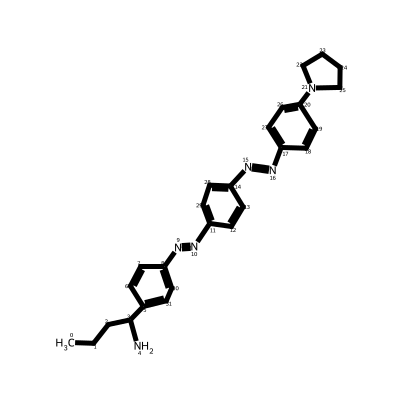 CCCC(N)c1ccc(/N=N/c2ccc(/N=N/c3ccc(N4CCCC4)cc3)cc2)cc1